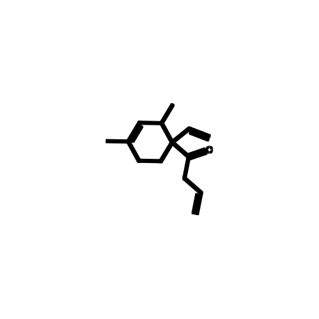 C=CCC(=O)C1(C=C)CCC(C)=CC1C